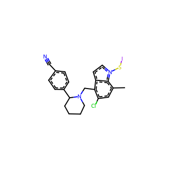 Cc1cc(Cl)c(CN2CCCCC2c2ccc(C#N)cc2)c2ccn(SI)c12